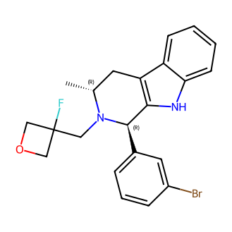 C[C@@H]1Cc2c([nH]c3ccccc23)[C@@H](c2cccc(Br)c2)N1CC1(F)COC1